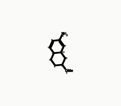 COC1CCC2C=CC(N)=CC2C1